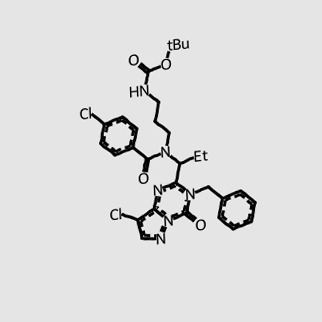 CCC(c1nc2c(Cl)cnn2c(=O)n1Cc1ccccc1)N(CCCNC(=O)OC(C)(C)C)C(=O)c1ccc(Cl)cc1